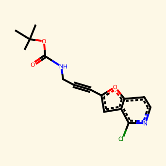 CC(C)(C)OC(=O)NCC#Cc1cc2c(Cl)nccc2o1